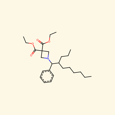 CCCCCCC(CCC)C(c1ccccc1)N1CC(C(=O)OCC)(C(=O)OCC)C1